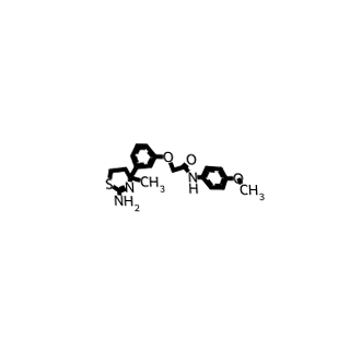 COc1ccc(NC(=O)COc2cccc(C3(C)CCSC(N)=N3)c2)cc1